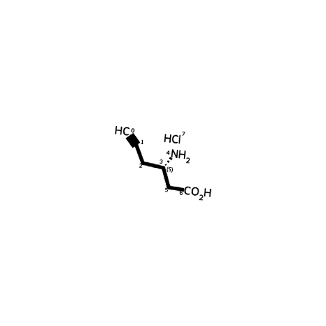 C#CC[C@H](N)CC(=O)O.Cl